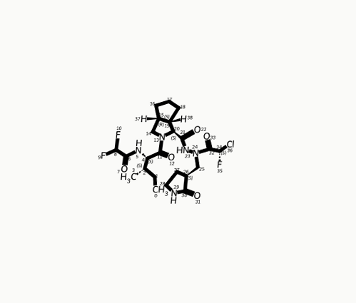 CC[C@H](C)[C@H](NC(=O)C(F)F)C(=O)N1C[C@@H]2CCC[C@@H]2[C@H]1C(=O)NN(C[C@@H]1CCNC1=O)C(=O)[C@@H](F)Cl